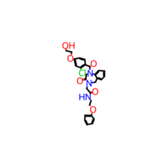 O=C(CN1Cc2ccccc2N(C(=O)c2ccc(OCCO)cc2Cl)CC1=O)NCCOc1ccccc1